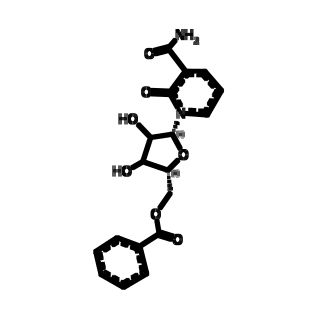 NC(=O)c1cccn([C@@H]2O[C@H](COC(=O)c3ccccc3)C(O)C2O)c1=O